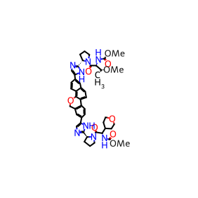 COC(=O)N[C@H](C(=O)N1CCC[C@H]1c1ncc(-c2ccc3c(c2)COc2c-3ccc3cc(-c4cnc([C@@H]5CCCN5C(=O)[C@@H](NC(=O)OC)[C@@H](C)OC)[nH]4)ccc23)[nH]1)C1CCOCC1